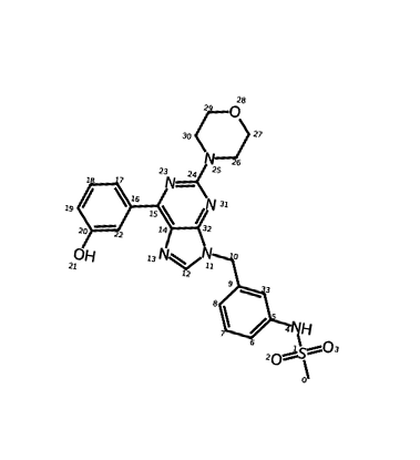 CS(=O)(=O)Nc1cccc(Cn2cnc3c(-c4cccc(O)c4)nc(N4CCOCC4)nc32)c1